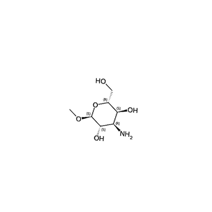 CO[C@H]1O[C@H](CO)[C@@H](O)[C@@H](N)[C@@H]1O